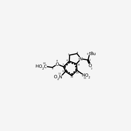 CC(C)(C)C(=O)N1CCc2c(OCC(=O)O)c([N+](=O)[O-])cc([N+](=O)[O-])c21